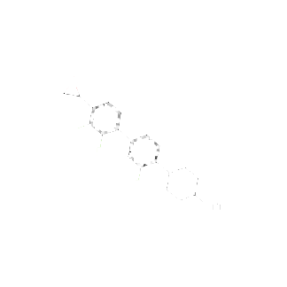 CCCC1CCC(c2ccc(-c3ccc(C4CO4)c(F)c3F)cc2F)CC1